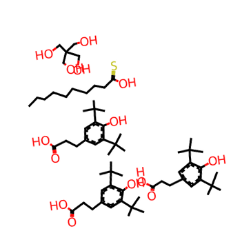 CC(C)(C)c1cc(CCC(=O)O)cc(C(C)(C)C)c1O.CC(C)(C)c1cc(CCC(=O)O)cc(C(C)(C)C)c1O.CC(C)(C)c1cc(CCC(=O)O)cc(C(C)(C)C)c1O.CCCCCCCCCC(O)=S.OCC(CO)(CO)CO